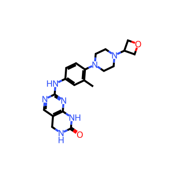 Cc1cc(Nc2ncc3c(n2)NC(=O)NC3)ccc1N1CCN(C2COC2)CC1